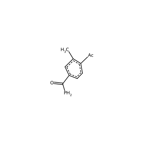 CC(=O)c1ccc(C(=O)P)cc1C